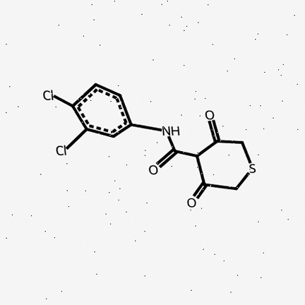 O=C1CSCC(=O)C1C(=O)Nc1ccc(Cl)c(Cl)c1